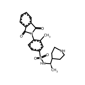 Cc1cc(S(=O)(=O)N[C@H](C)C2CCNCC2)ccc1N1C(=O)c2ccccc2C1=O